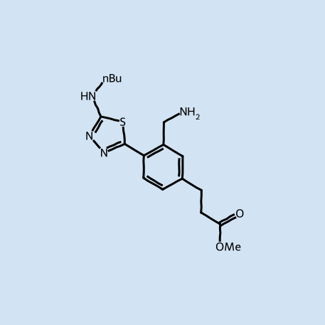 CCCCNc1nnc(-c2ccc(CCC(=O)OC)cc2CN)s1